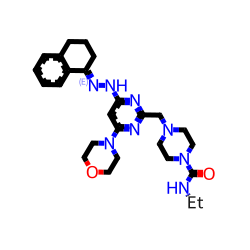 CCNC(=O)N1CCN(Cc2nc(N/N=C3\CCCc4ccccc43)cc(N3CCOCC3)n2)CC1